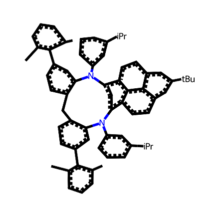 Cc1cccc(C)c1-c1ccc2c(c1)N(c1cccc(C(C)C)c1)c1cc(c3ccc4cc(C(C)(C)C)cc5ccc1c3c54)N(c1cccc(C(C)C)c1)c1cc(-c3c(C)cccc3C)ccc1C2